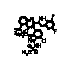 Cn1nc(NS(C)(=O)=O)c2c(Cl)ccc(-n3c(C(N)Cc4cc(F)cc(F)c4)nc4cccc(-c5nccs5)c4c3=O)c21